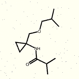 CC(C)COCC1(NC(=O)C(C)C)CC1